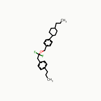 CCCc1ccc(CC(F)(F)OCc2ccc(C3CCC(CCC)CC3)cc2)cc1